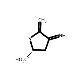 C=C1S[C@@H](C(=O)O)CC1=N